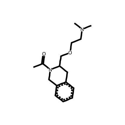 CC(=O)N1Cc2ccccc2CC1COCCN(C)C